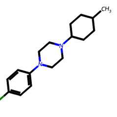 CC1CCC(N2CCN(c3ccc(Cl)cc3)CC2)CC1